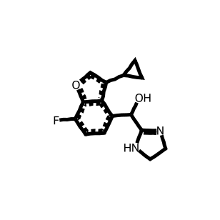 OC(C1=NCCN1)c1ccc(F)c2occ(C3CC3)c12